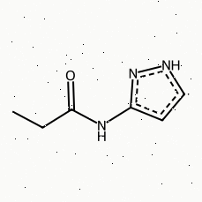 CCC(=O)Nc1c[c][nH]n1